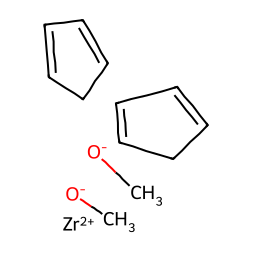 C1=CCC=C1.C1=CCC=C1.C[O-].C[O-].[Zr+2]